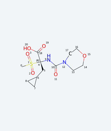 CS(=O)(=O)[C@@](CC1CC1)(NC(=O)N1CCOCC1)C(=O)O